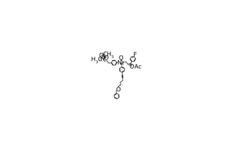 CC(=O)O[C@@H](CCC1C(=O)N(c2ccc(CCCN(C)S(C)(=O)=O)cc2)[C@@H]1c1ccc(C#CCCCCOCc2ccccc2)cc1)c1ccc(F)cc1